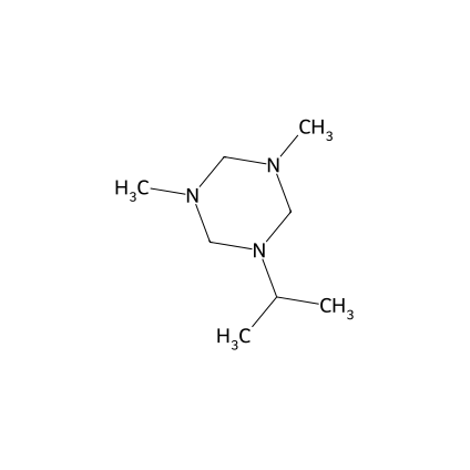 CC(C)N1CN(C)CN(C)C1